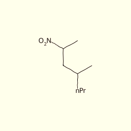 CCCC(C)CC(C)[N+](=O)[O-]